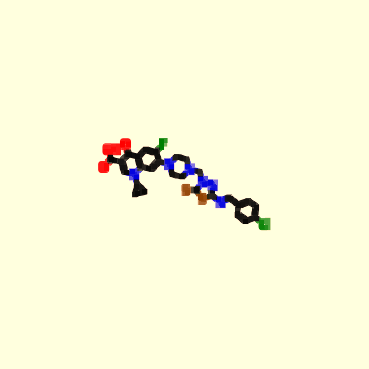 O=C(O)c1cn(C2CC2)c2cc(N3CCN(Cn4nc(/N=C/c5ccc(Cl)cc5)sc4=S)CC3)c(F)cc2c1=O